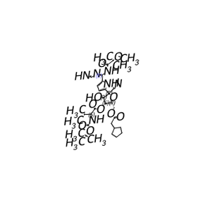 COC(C)(C)C(=O)N/C(=N/C=N)c1ccc([C@]2(C#N)O[C@H](COC(=O)CC3CCCC3)[C@@H](OC(=O)[C@@H](NC(=O)OC(C)(C)C)C(C)C)[C@H]2O)[nH]1